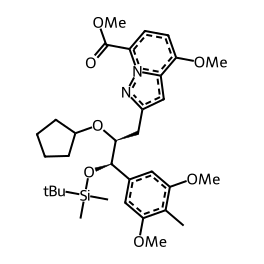 COC(=O)c1ccc(OC)c2cc(C[C@H](OC3CCCC3)[C@H](O[Si](C)(C)C(C)(C)C)c3cc(OC)c(C)c(OC)c3)nn12